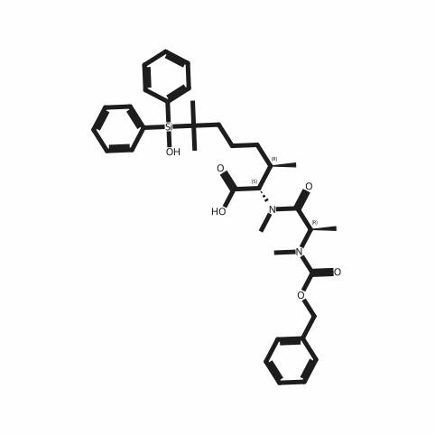 C[C@H](CCCC(C)(C)[Si](O)(c1ccccc1)c1ccccc1)[C@@H](C(=O)O)N(C)C(=O)[C@@H](C)N(C)C(=O)OCc1ccccc1